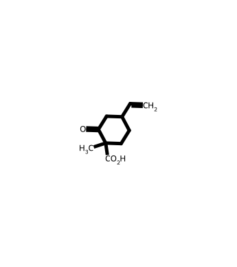 C=CC1CCC(C)(C(=O)O)C(=O)C1